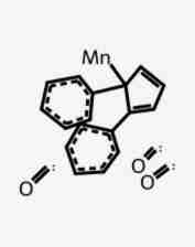 [C]=O.[C]=O.[C]=O.[Mn][C]1(c2ccccc2)C=CC=C1c1ccccc1